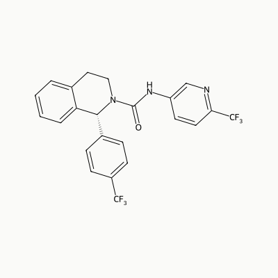 O=C(Nc1ccc(C(F)(F)F)nc1)N1CCc2ccccc2[C@H]1c1ccc(C(F)(F)F)cc1